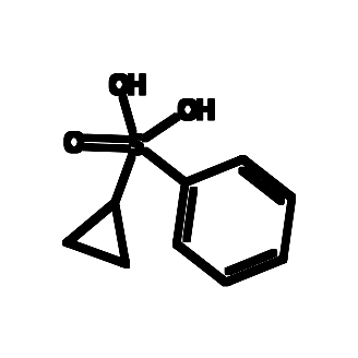 O=S(O)(O)(c1ccccc1)C1CC1